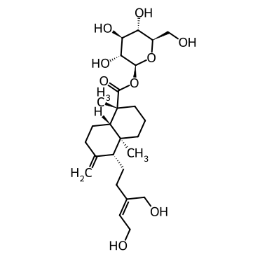 C=C1CC[C@H]2[C@@](C)(CCC[C@@]2(C)C(=O)O[C@@H]2O[C@H](CO)[C@@H](O)[C@H](O)[C@H]2O)[C@@H]1CC/C(=C/CO)CO